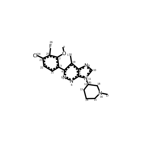 COc1c(-c2nnc3c(ncn3[C@@H]3CCCN(C)C3)c2C)ccc(Cl)c1F